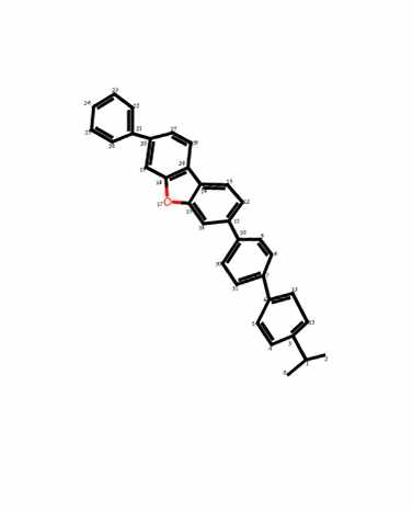 CC(C)c1ccc(-c2ccc(-c3ccc4c(c3)oc3cc(-c5ccccc5)ccc34)cc2)cc1